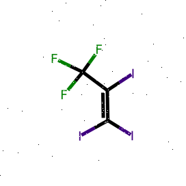 FC(F)(F)C(I)=C(I)I